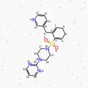 O=S(=O)(C1=CC[CH]C=C1Cc1cccnc1)N1CCN(c2ncccn2)CC1